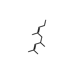 CCC=C(C)CC(C)C=C(C)C